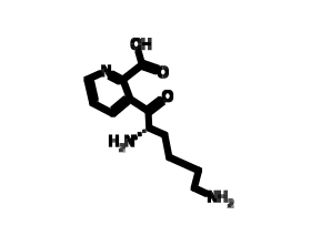 NCCCC[C@H](N)C(=O)c1cccnc1C(=O)O